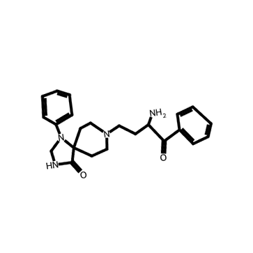 NC(CCN1CCC2(CC1)C(=O)NCN2c1ccccc1)C(=O)c1ccccc1